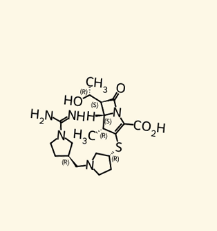 C[C@@H](O)[C@H]1C(=O)N2C(C(=O)O)=C(S[C@@H]3CCN(C[C@H]4CCN(C(=N)N)C4)C3)[C@H](C)[C@H]12